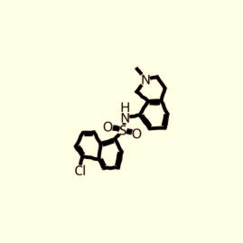 CN1CCc2cccc(NS(=O)(=O)c3cccc4c(Cl)cccc34)c2C1